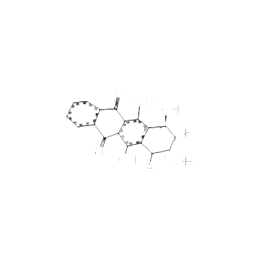 CC(=O)C1c2c(O)c3c(c(O)c2[C@@H](O)[C@H](F)[C@@H]1O)C(=O)c1ccccc1C3=O